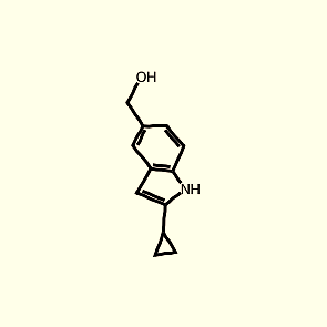 OCc1ccc2[nH]c(C3CC3)cc2c1